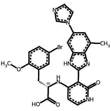 COc1ccc(Br)cc1C[C@H](Nc1cc[nH]c(=O)c1-c1nc2c(C)cc(-n3ccnc3)cc2[nH]1)C(=O)O